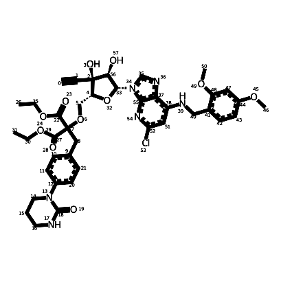 C#C[C@@]1(O)[C@@H](COC(Cc2ccc(N3CCCNC3=O)cc2)(C(=O)OCC)C(=O)OCC)O[C@@H](n2cnc3c(NCc4ccc(OC)cc4OC)cc(Cl)nc32)[C@@H]1O